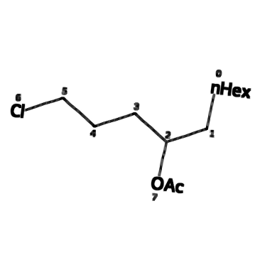 CCCCCCCC(CCCCl)OC(C)=O